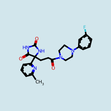 Cc1cccc(C2(CCC(=O)N3CCN(c4cccc(F)c4)CC3)NC(=O)NC2=O)n1